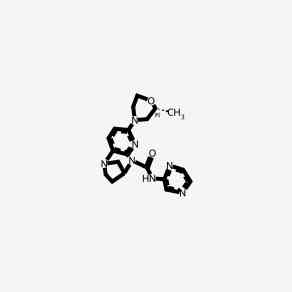 C[C@@H]1CN(c2ccc3c(n2)N(C(=O)Nc2cnccn2)C2CCN3C2)CCO1